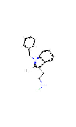 Cc1c(CCNCl)c2ccccc2n1Cc1ccccc1